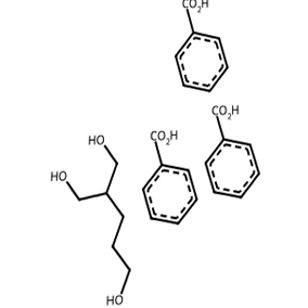 O=C(O)c1ccccc1.O=C(O)c1ccccc1.O=C(O)c1ccccc1.OCCCC(CO)CO